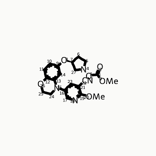 COC(=O)ON1CC[C@H](Oc2ccc3c(c2)N(c2cnc(OC)c(C#N)c2)CCO3)C1